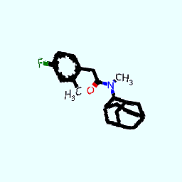 Cc1cc(F)ccc1CC(=O)N(C)C1C2CC3CC(C2)CC1C3